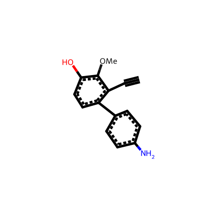 C#Cc1c(-c2ccc(N)cc2)ccc(O)c1OC